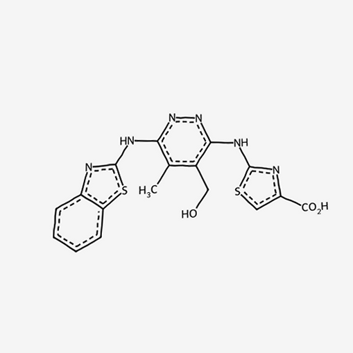 Cc1c(Nc2nc3ccccc3s2)nnc(Nc2nc(C(=O)O)cs2)c1CO